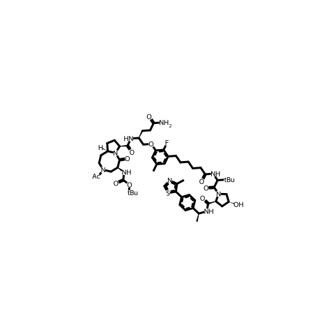 CC(=O)N1CC[C@H]2CC[C@@H](C(=O)N[C@@H](CCC(N)=O)COc3cc(C)cc(CCCCCC(=O)NC(C(=O)N4C[C@H](O)C[C@H]4C(=O)N[C@@H](C)c4ccc(-c5scnc5C)cc4)C(C)(C)C)c3F)N2C(=O)[C@@H](NC(=O)OC(C)(C)C)C1